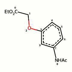 CCOC(=O)COc1cccc(NC(C)=O)c1